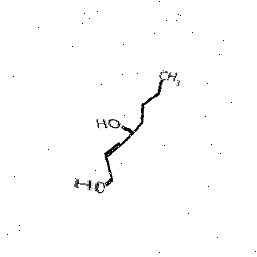 CCCCC(O)C=CCO